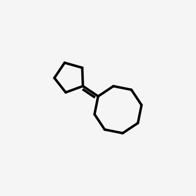 C1CCCC(=C2CCCC2)CCC1